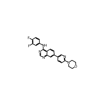 Fc1ccc(Nc2ncnc3cc(-c4ccc(N5CCOCC5)nc4)ccc23)cc1F